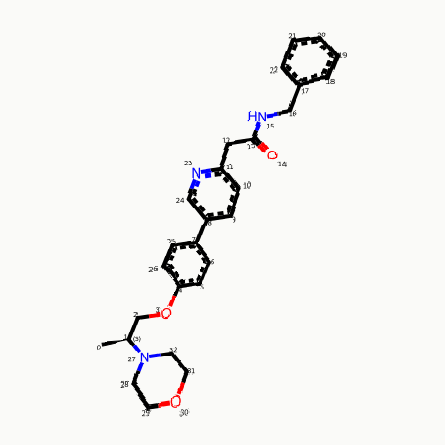 C[C@@H](COc1ccc(-c2ccc(CC(=O)NCc3ccccc3)nc2)cc1)N1CCOCC1